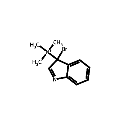 C[N+](C)(C)C1(Br)C=Nc2ccccc21